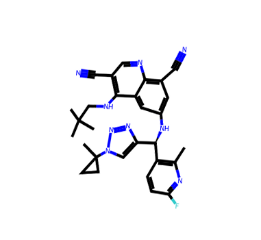 Cc1nc(F)ccc1[C@H](Nc1cc(C#N)c2ncc(C#N)c(NCC(C)(C)C)c2c1)c1cn(C2(C)CC2)nn1